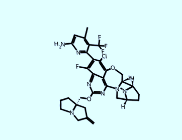 C=C1CN2CCC[C@@]2(COc2nc3c4c(c(Cl)c(-c5nc(N)cc(C)c5C(F)(F)F)c(F)c4n2)OC[C@@H]2[C@@H]4CC[C@H](CN32)N4C)C1